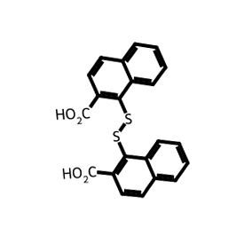 O=C(O)c1ccc2ccccc2c1SSc1c(C(=O)O)ccc2ccccc12